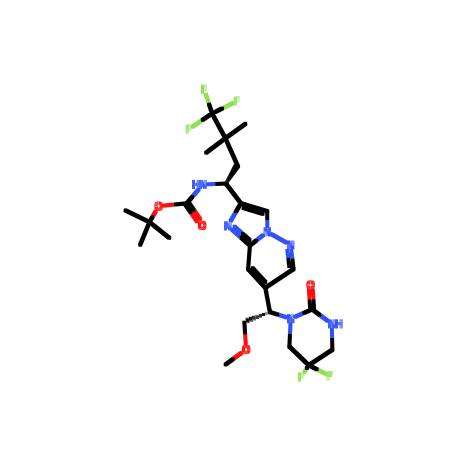 COC[C@H](c1cnn2cc([C@H](CC(C)(C)C(F)(F)F)NC(=O)OC(C)(C)C)nc2c1)N1CC(F)(F)CNC1=O